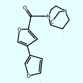 O=C(c1cc(-c2ccoc2)co1)N1CCN2CCC1CC2